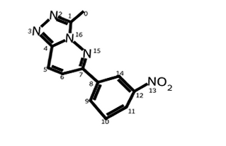 Cc1nnc2ccc(-c3cccc([N+](=O)[O-])c3)nn12